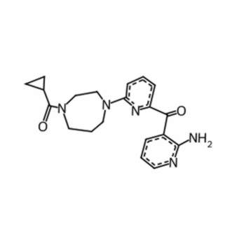 Nc1ncccc1C(=O)c1cccc(N2CCCN(C(=O)C3CC3)CC2)n1